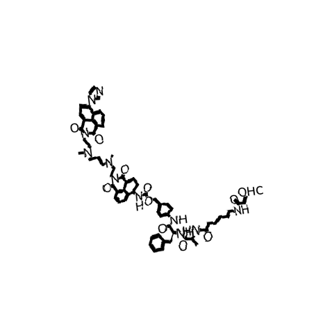 CC(NC(=O)CCCCCNC(=O)/C=C\C=O)C(=O)N[C@@H](Cc1ccccc1)C(=O)Nc1ccc(COC(=O)Nc2ccc3c4c(cccc24)C(=O)N(CCN(C)CCCN(C)CCN2C(=O)c4cccc5c(-n6ccnc6)ccc(c45)C2=O)C3=O)cc1